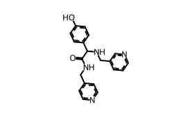 O=C(NCc1ccncc1)C(NCc1cccnc1)c1ccc(O)cc1